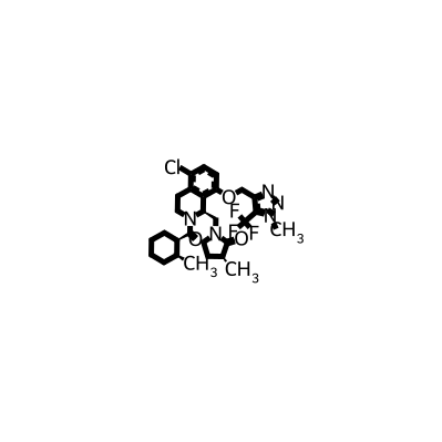 C[C@@H]1CCN(C[C@@H]2c3c(OCc4nnn(C)c4C(F)(F)F)ccc(Cl)c3CCN2C(=O)[C@@H]2CCCC[C@@H]2C)C1=O